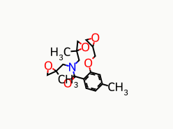 Cc1ccc(C(=O)N(CC2(C)CO2)CC2(C)CO2)c(OCC2CO2)c1